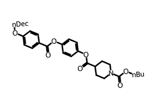 CCCCCCCCCCOc1ccc(C(=O)Oc2ccc(OC(=O)C3CCN(C(=O)OCCCC)CC3)cc2)cc1